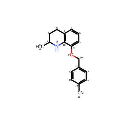 CC1CCc2cccc(OCc3ccc(C#N)cc3)c2N1